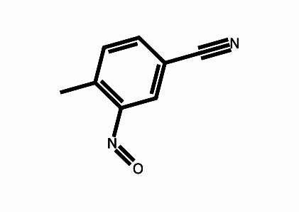 Cc1ccc(C#N)cc1N=O